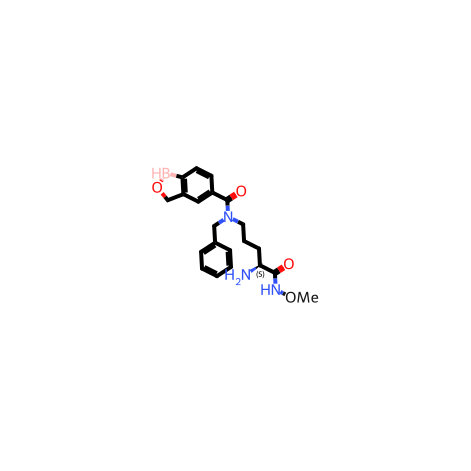 CONC(=O)[C@@H](N)CCCN(Cc1ccccc1)C(=O)c1ccc2c(c1)COB2